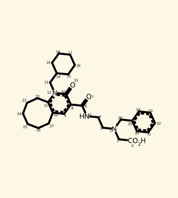 O=C(O)CN(CCNC(=O)c1cc2c(n(CC3CCCCC3)c1=O)CCCCCC2)Cc1ccccc1